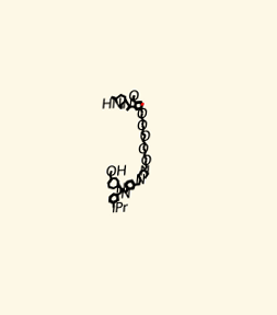 C=C1CCC(N2C(=C)c3cc(OCCOCCOCCOCCOCCN4CCN(Cc5ccc6c(c5)nc(-c5cccc(C(C)C)c5)n6C5CCC=C(CO)CC5)CC4)ccc3C2=O)C(=C)N1